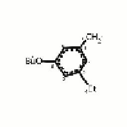 [CH2]c1cc(CC)cc(OCC(C)C)c1